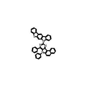 c1ccc(-c2nc(-n3c4ccccc4c4cc5c(cc43)sc3ccccc35)nc3c4c5ccccc5ccc4n(-c4ccccc4)c23)cc1